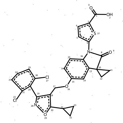 O=C(O)c1ccc(N2C(=O)C3(CC3)c3cc(OCc4c(-c5c(Cl)cccc5Cl)noc4C4CC4)ccc32)s1